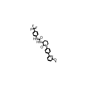 COc1cccc(-c2ccc(N3CCC[C@@H](NC(=O)Nc4ccc(C(F)(F)F)cc4)C3=O)cc2)n1